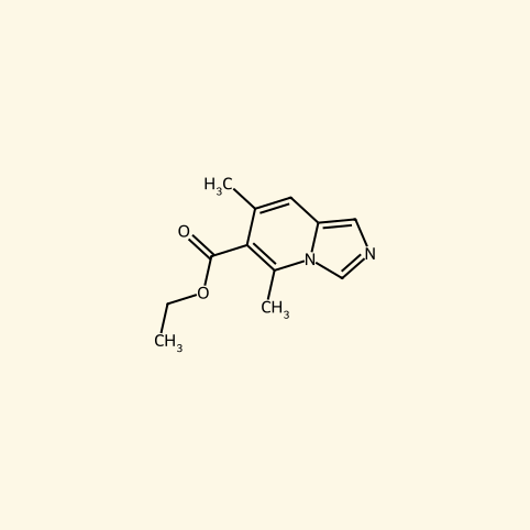 CCOC(=O)c1c(C)cc2cncn2c1C